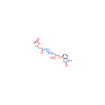 CC(CCC(=O)NCCNCC(O)COc1cccc2c1CC(=O)N2)O[N+](=O)[O-]